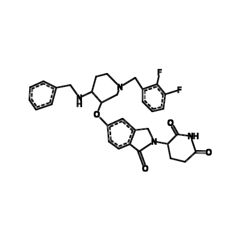 O=C1CCC(N2Cc3cc(OC4CN(Cc5cccc(F)c5F)CCC4NCc4ccccc4)ccc3C2=O)C(=O)N1